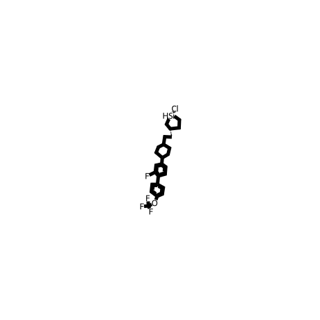 Fc1cc(C2CCC(CC[C@H]3CC[Si@H](Cl)CC3)CC2)ccc1-c1ccc(OC(F)(F)F)cc1